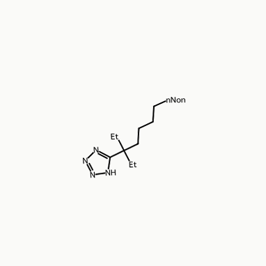 CCCCCCCCCCCCCC(CC)(CC)c1nnn[nH]1